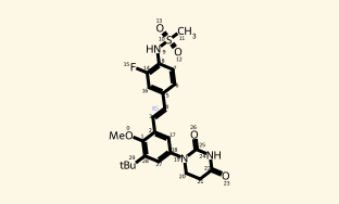 COc1c(/C=C/c2ccc(NS(C)(=O)=O)c(F)c2)cc(N2CCC(=O)NC2=O)cc1C(C)(C)C